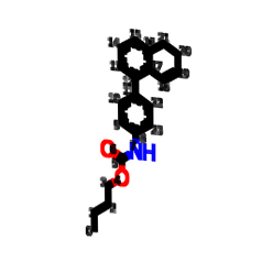 CCCCOC(=O)Nc1ccc(-c2cccc3c2C=CCC3)cc1